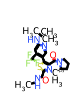 CCNC(=O)c1nc(C(=O)N2CCC[C@@H]2C)c(-c2cnc(NC(C)(C)C)cc2C(F)(F)F)s1